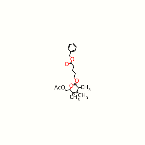 CC(=O)OCC1O[C@@H](OCCCCC(=O)OCc2ccccc2)C(C)[C@@H](C)[C@H]1C